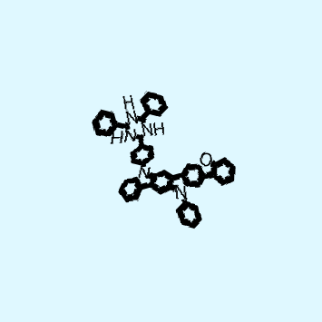 c1ccc(C2NC(c3ccccc3)NC(c3ccc(-n4c5ccccc5c5cc6c(cc54)c4cc5oc7ccccc7c5cc4n6-c4ccccc4)cc3)N2)cc1